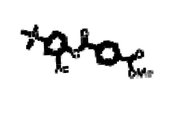 COC(=O)c1ccc(C(=O)Oc2ccc([Si](C)(C)C)cc2C(C)=O)cc1